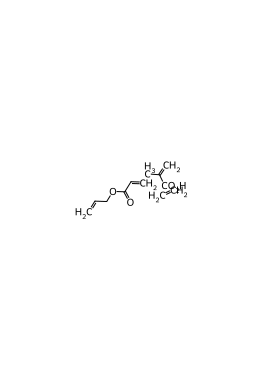 C=C.C=C(C)C(=O)O.C=CCOC(=O)C=C